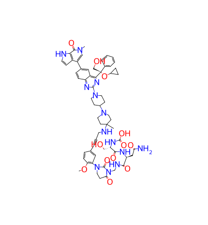 COc1ccc(C#CCNC2(C)CCN(C3CCN(c4nc([C@@](CO)(OC5CC5)c5ccccc5)c5cc(-c6cn(C)c(=O)c7[nH]ccc67)ccc5n4)CC3)CC2)cc1N1CCC(=O)N(CNC(=O)[C@H](CC(N)=O)NC(=O)[C@H](CO)NC(=O)O)C1=O